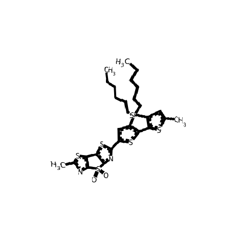 CCCCCC[Si]1(CCCCCC)c2cc(C)sc2-c2sc(-c3nc4c(s3)-c3sc(C)nc3S4(=O)=O)cc21